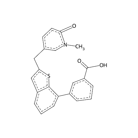 Cn1cc(Cc2cc3cccc(-c4cccc(C(=O)O)c4)c3s2)ccc1=O